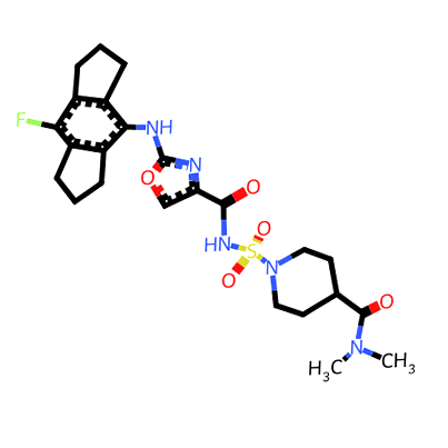 CN(C)C(=O)C1CCN(S(=O)(=O)NC(=O)c2coc(Nc3c4c(c(F)c5c3CCC5)CCC4)n2)CC1